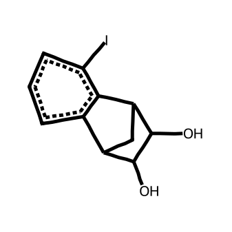 OC1C2CC(c3c(I)cccc32)C1O